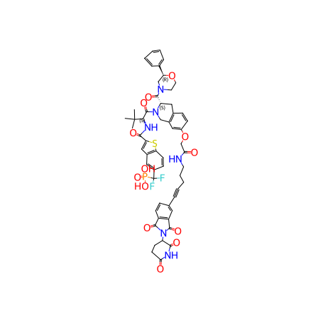 CC(C)(C)[C@H](NC(=O)c1cc2cc(C(F)(F)P(=O)(O)O)ccc2s1)C(=O)N1Cc2cc(OCC(=O)NCCCC#Cc3ccc4c(c3)C(=O)N(C3CCC(=O)NC3=O)C4=O)ccc2C[C@H]1C(=O)N1CCO[C@H](c2ccccc2)C1